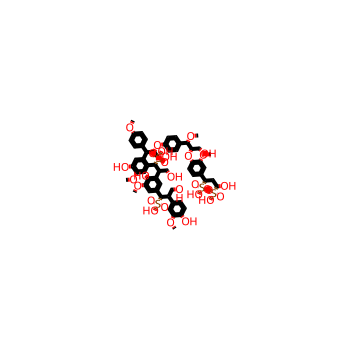 COc1ccc(C(c2cc(O)c(OC)cc2C(C(CO)c2cc(C(C(CO)c3ccc(O)c(OC)c3)S(=O)(=O)O)cc(OC)c2O)S(=O)(=O)O)C(CO)Oc2ccc(C(OC)C(CO)Oc3ccc(C(CC(O)S(=O)(=O)O)S(=O)(=O)O)cc3OC)cc2)cc1